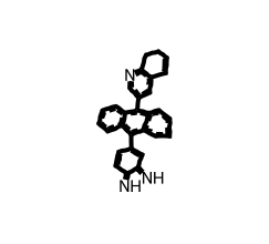 N=C1C=CC(c2c3ccccc3c(-c3cnc4c(c3)C=CCC4)c3ccccc23)=CC1=N